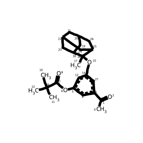 CC(=O)c1cc(OC(=O)C(C)(C)C)cc(OC2(C)C3CC4CC(C3)CC2C4)c1